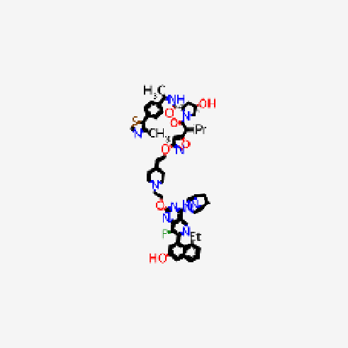 CCc1cccc2cc(O)cc(-c3ncc4c(N5CC6CCC(C5)N6)nc(OCCN5CCC(CCOc6cc(C(C(=O)N7C[C@H](O)C[C@H]7C(=O)NC(C)c7ccc(-c8scnc8C)cc7)C(C)C)on6)CC5)nc4c3F)c12